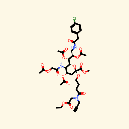 C#CCN(CC(=O)OCC)C(=O)CCCO[C@]1(C(=O)OC)C[C@H](OC(C)=O)[C@@H](NC(=O)COC(C)=O)[C@H]([C@H](OC(C)=O)[C@@H](CNC(=O)Cc2ccc(Cl)cc2)OC(C)=O)O1